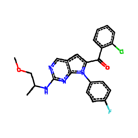 COCC(C)Nc1ncc2cc(C(=O)c3ccccc3Cl)n(-c3ccc(F)cc3)c2n1